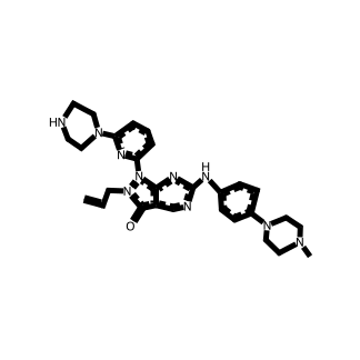 C=CCn1c(=O)c2cnc(Nc3ccc(N4CCN(C)CC4)cc3)nc2n1-c1cccc(N2CCNCC2)n1